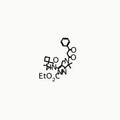 CCOC(=O)n1nc2c(c1NC(=O)C1(S(C)(C)C)CCC1)CN(C(=O)CC(=O)c1ccccc1)C2(C)C